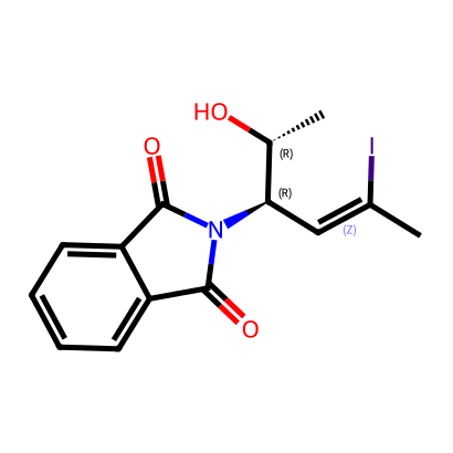 C/C(I)=C/[C@H]([C@@H](C)O)N1C(=O)c2ccccc2C1=O